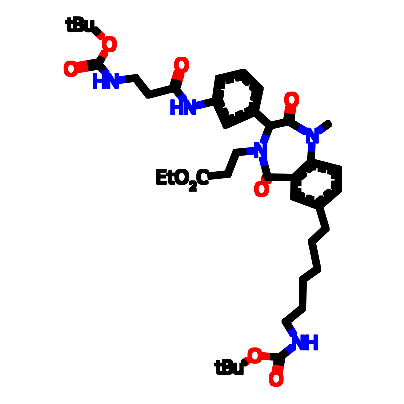 CCOC(=O)CCN1C(=O)c2cc(CCCCCCNC(=O)OC(C)(C)C)ccc2N(C)C(=O)C1c1cccc(NC(=O)CCNC(=O)OC(C)(C)C)c1